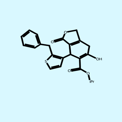 CC(C)OC(=O)C1=C(O)CC2=C(C(=O)OC2)C1c1ccsc1Cc1ccccc1